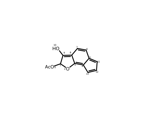 CC(=O)OC1Oc2c3c(ccc2=C1O)=CC=C3